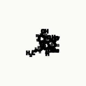 C=CCN1CC[C@]23c4c5ccc(O)c4O[C@H]2C(=O)CC[C@]3(OC)[C@H]1C5